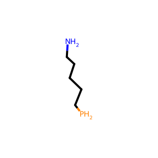 NCCCCCP